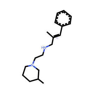 C/C(=C\c1ccccc1)CNCCN1CCCC(C)C1